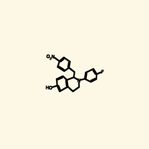 O=[N+]([O-])c1ccc(CC2c3ccc(O)cc3CCN2c2ccc(F)cc2)cc1